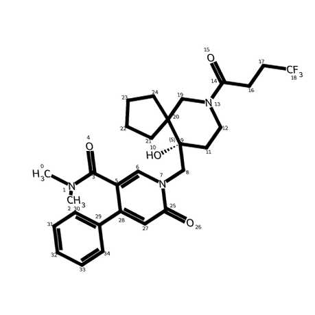 CN(C)C(=O)c1cn(C[C@]2(O)CCN(C(=O)CCC(F)(F)F)CC23CCCC3)c(=O)cc1-c1ccccc1